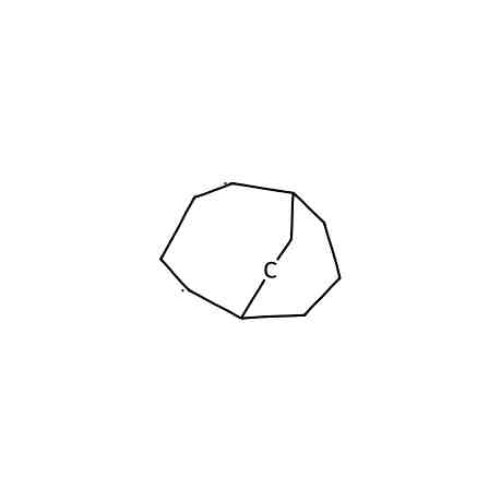 [CH]1CC[CH]C2CCCC1CC2